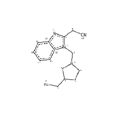 CC(=O)CC1CCN(Cn2c(CC#N)nc3ccccc32)C1